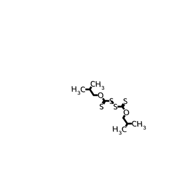 CC(C)COC(=S)SSC(=S)OCC(C)C